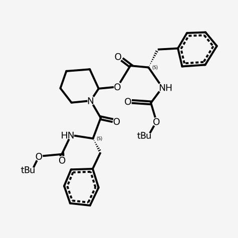 CC(C)(C)OC(=O)N[C@@H](Cc1ccccc1)C(=O)OC1CCCCN1C(=O)[C@H](Cc1ccccc1)NC(=O)OC(C)(C)C